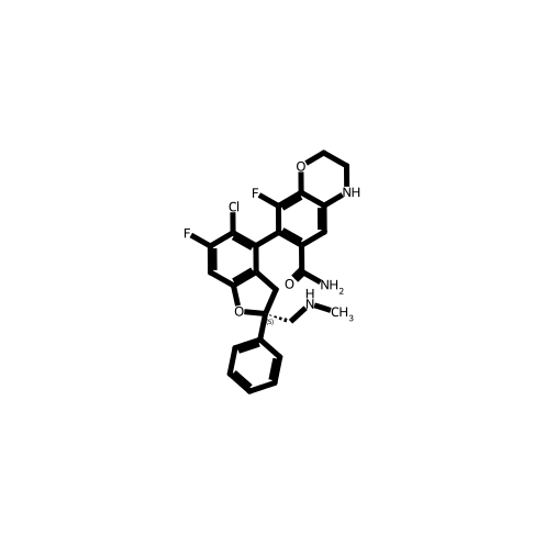 CNC[C@@]1(c2ccccc2)Cc2c(cc(F)c(Cl)c2-c2c(C(N)=O)cc3c(c2F)OCCN3)O1